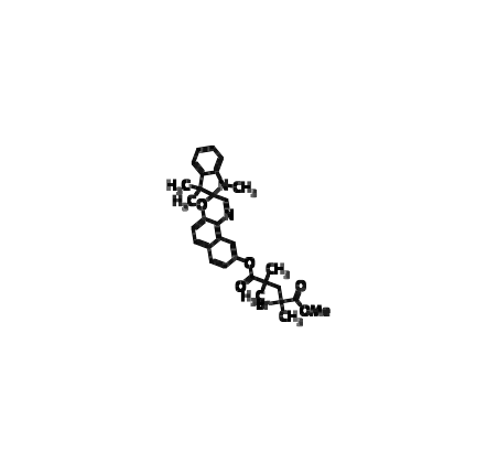 COC(=O)C(C)(Br)CC(C)(C)C(=O)Oc1ccc2ccc3c(c2c1)N=CC1(O3)N(C)c2ccccc2C1(C)C